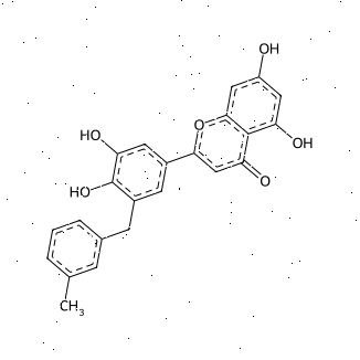 Cc1cccc(Cc2cc(-c3cc(=O)c4c(O)cc(O)cc4o3)cc(O)c2O)c1